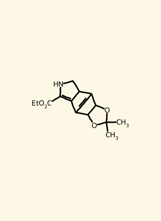 CCOC(=O)C1=C2C3C=CC(C2CN1)C1OC(C)(C)OC31